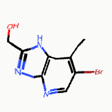 Cc1c(Br)cnc2nc(CO)[nH]c12